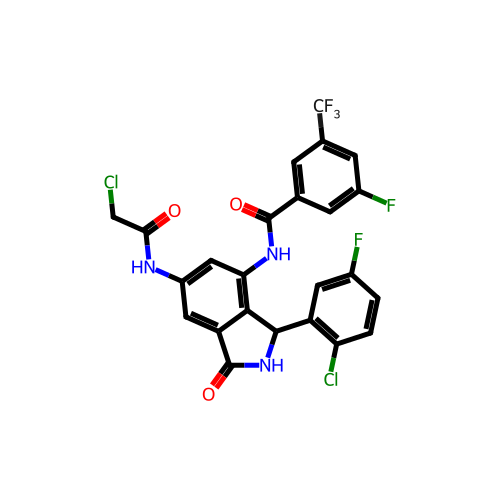 O=C(CCl)Nc1cc(NC(=O)c2cc(F)cc(C(F)(F)F)c2)c2c(c1)C(=O)NC2c1cc(F)ccc1Cl